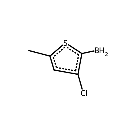 Bc1sc(C)cc1Cl